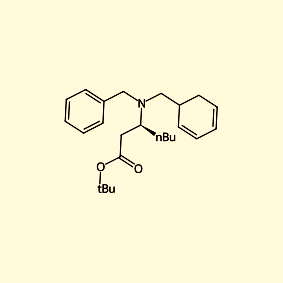 CCCC[C@@H](CC(=O)OC(C)(C)C)N(Cc1ccccc1)CC1C=CC=CC1